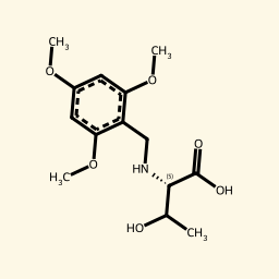 COc1cc(OC)c(CN[C@H](C(=O)O)C(C)O)c(OC)c1